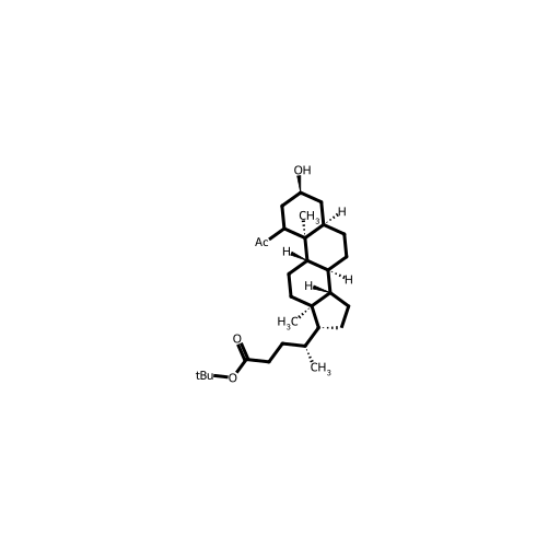 CC(=O)C1C[C@@H](O)C[C@H]2CC[C@H]3[C@@H]4CC[C@H]([C@H](C)CCC(=O)OC(C)(C)C)[C@@]4(C)CC[C@@H]3[C@@]12C